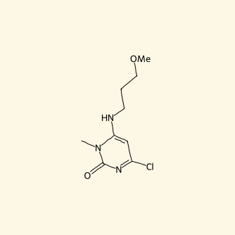 COCCCNc1cc(Cl)nc(=O)n1C